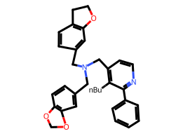 CCCCc1c(CN(Cc2ccc3c(c2)OCC3)Cc2ccc3c(c2)OCO3)ccnc1-c1ccccc1